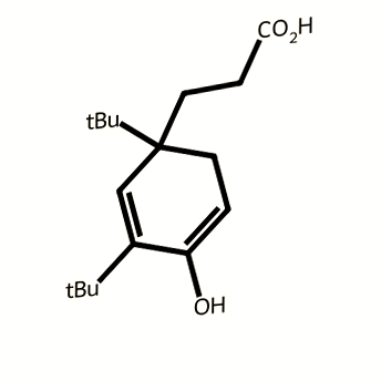 CC(C)(C)C1=CC(CCC(=O)O)(C(C)(C)C)CC=C1O